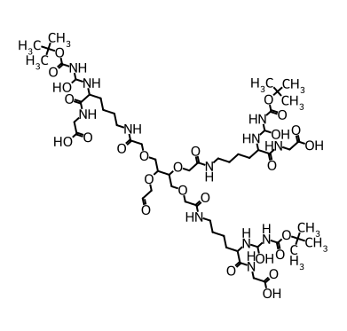 CC(C)(C)OC(=O)NC(O)NC(CCCCNC(=O)COCC(OCC=O)C(COCC(=O)NCCCCC(NC(O)NC(=O)OC(C)(C)C)C(=O)NCC(=O)O)OCC(=O)NCCCCC(NC(O)NC(=O)OC(C)(C)C)C(=O)NCC(=O)O)C(=O)NCC(=O)O